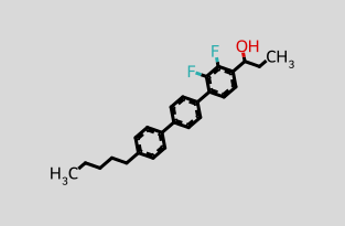 CCCCCc1ccc(-c2ccc(-c3ccc(C(O)CC)c(F)c3F)cc2)cc1